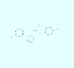 NC1=Nc2c(ncn2-c2cccc(N)c2)C(N)N1c1ccc(N2CCOCC2)cc1